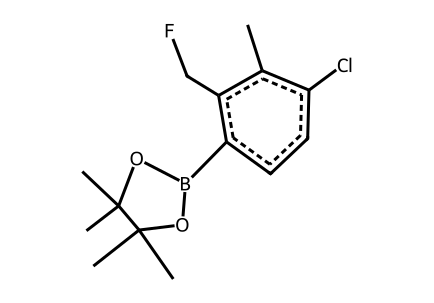 Cc1c(Cl)ccc(B2OC(C)(C)C(C)(C)O2)c1CF